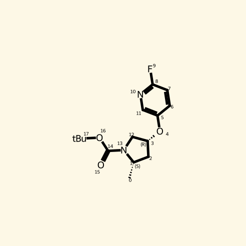 C[C@H]1C[C@@H](Oc2ccc(F)nc2)CN1C(=O)OC(C)(C)C